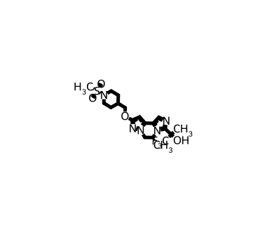 C[C@H]1Cn2nc(OCC3CCN(S(C)(=O)=O)CC3)cc2-c2cnc(C(C)(O)C(F)(F)F)n21